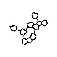 c1ccc(-c2cc(-c3cccc4sc5ccc(-c6ccc7c(c6)c6ccccc6n7-c6ccccc6)cc5c34)cc(-c3ccccc3)n2)cc1